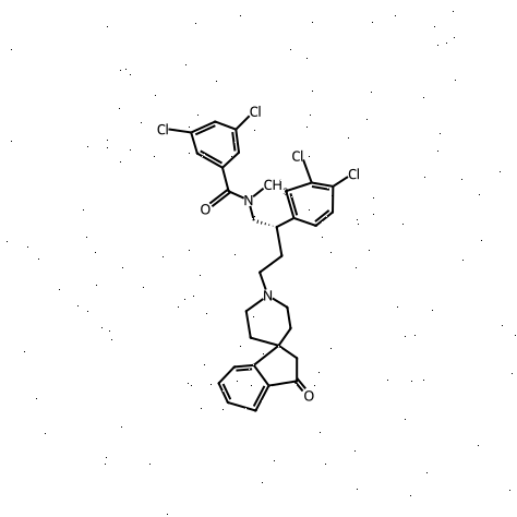 CN(C[C@@H](CCN1CCC2(CC1)CC(=O)c1ccccc12)c1ccc(Cl)c(Cl)c1)C(=O)c1cc(Cl)cc(Cl)c1